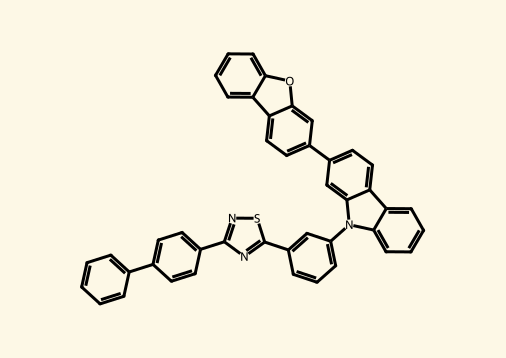 c1ccc(-c2ccc(-c3nsc(-c4cccc(-n5c6ccccc6c6ccc(-c7ccc8c(c7)oc7ccccc78)cc65)c4)n3)cc2)cc1